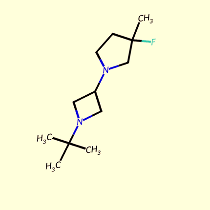 CC1(F)CCN(C2CN(C(C)(C)C)C2)C1